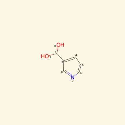 OC(O)c1cccnc1